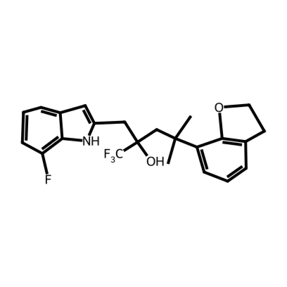 CC(C)(CC(O)(Cc1cc2cccc(F)c2[nH]1)C(F)(F)F)c1cccc2c1OCC2